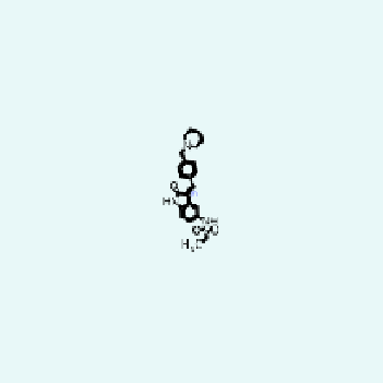 CCS(=O)(=O)Nc1ccc2c(c1)/C(=C/c1ccc(CN3CCCCC3)cc1)C(=O)N2